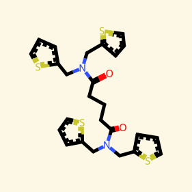 O=C(CCCC(=O)N(Cc1cccs1)Cc1cccs1)N(Cc1cccs1)Cc1cccs1